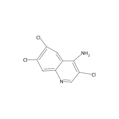 Nc1c(Cl)cnc2cc(Cl)c(Cl)cc12